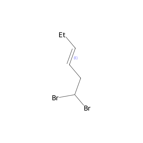 CC/C=C/CC(Br)Br